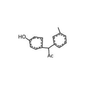 CC(=O)C(c1ccc(O)cc1)c1cccc(C)c1